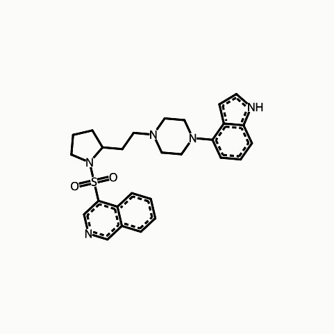 O=S(=O)(c1cncc2ccccc12)N1CCCC1CCN1CCN(c2cccc3[nH]ccc23)CC1